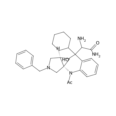 CC(=O)N(c1ccccc1C(O)(C1CCCCC1)C(N)C(N)=O)[C@@]12C[C@@H]1CN(Cc1ccccc1)C2